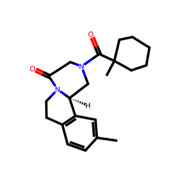 Cc1ccc2c(c1)[C@@H]1CN(C(=O)C3(C)CCCCC3)CC(=O)N1CC2